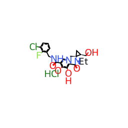 CCN1C(=O)c2c(O)c(=O)c(C(=O)NCc3cccc(Cl)c3F)cn2C[C@]12C[C@H]2CO.Cl